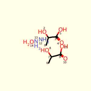 CC(O)C(=O)O.CC(O)C(=O)O.N.N.O